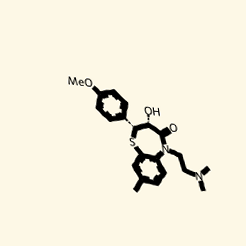 COc1ccc([C@H]2Sc3cc(C)ccc3N(CCN(C)C)C(=O)[C@H]2O)cc1